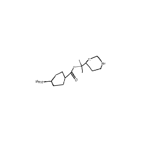 CCCCCC1CCC(C(=O)OC(C)(C)C2CCNCC2)CC1